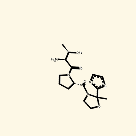 C[C@@H](O)[C@H](N)C(=O)N1CCC[C@H]1C(=O)N1CCOC1(C)c1nccs1